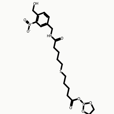 O=C(CCCCSCCCCC(=O)ON1OCCO1)NCc1ccc(CO)c([N+](=O)[O-])c1